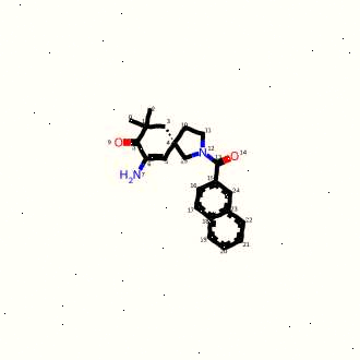 CC1(C)C[C@]2(C=C(N)C1=O)CCN(C(=O)c1ccc3ccccc3c1)C2